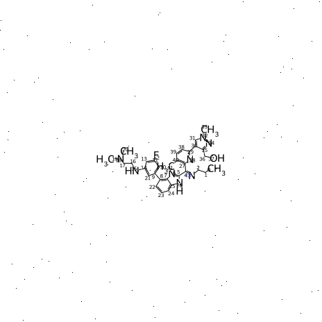 CCC/N=C(/c1nc2c(-c3cc(F)cc(NCCN(C)C)c3)cccc2[nH]1)c1nc(-c2cn(C)nc2CO)ccc1C